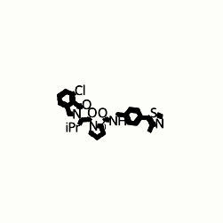 Cc1ncsc1-c1ccc(CNC(=O)[C@@H]2CCCN2C(=O)C(C(C)C)N2Cc3cccc(Cl)c3C2=O)cc1